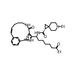 CCC(=O)CCCCCC(NC(=O)[C@H]1CC12CCN(CC)CC2)c1[nH]c2nc1C(=O)NCCC/C=C\c1cccc-2c1